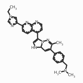 CCn1cnc(-c2ccc3c(C4=CNC5C=C(c6ccc(CN(C)C)cc6)C(C)=NN45)ccnc3n2)c1